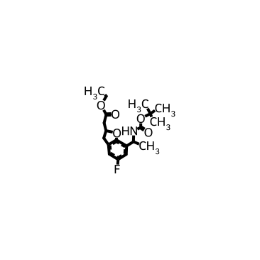 CCOC(=O)CC1Cc2cc(F)cc(C(C)NC(=O)OC(C)(C)C)c2O1